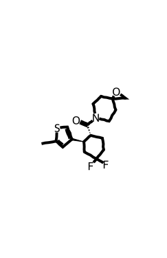 Cc1cc([C@@H]2CC(F)(F)CC[C@H]2C(=O)N2CCC3(CC2)CO3)cs1